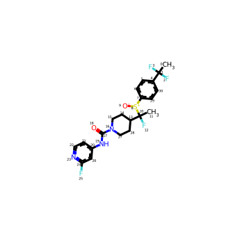 CC(F)(F)c1ccc([S+]([O-])C(C)(F)C2CCN(C(=O)Nc3ccnc(F)c3)CC2)cc1